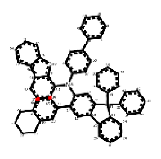 c1ccc(-c2ccc(N(c3cc4c(cc3-c3ccc5c(c3)CCCC5)-c3ccccc3C4(c3ccccc3)c3ccccc3)c3cccc4c3sc3ccccc34)cc2)cc1